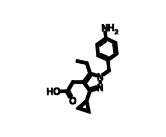 CCc1c(CC(=O)O)c(C2CC2)nn1Cc1ccc(N)cc1